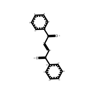 O=C(/[C]=C/C(=O)c1ccccc1)c1ccccc1